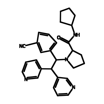 N#Cc1cccc(C(C(c2cccnc2)c2cccnc2)N2CCCC2C(=O)NC2CCCC2)c1